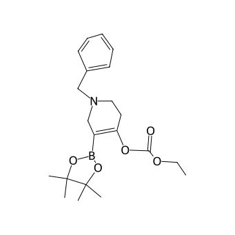 CCOC(=O)OC1=C(B2OC(C)(C)C(C)(C)O2)CN(Cc2ccccc2)CC1